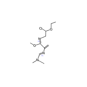 C=C(/N=C/N(C)C)/C(=N\CC(Cl)OCC)OC